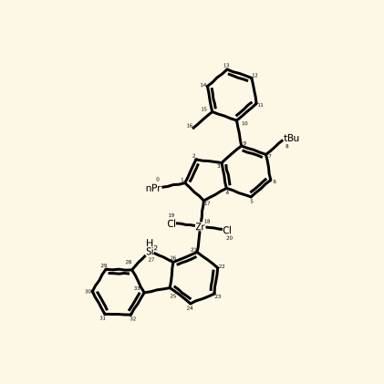 CCCC1=Cc2c(ccc(C(C)(C)C)c2-c2ccccc2C)[CH]1[Zr]([Cl])([Cl])[c]1cccc2c1[SiH2]c1ccccc1-2